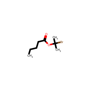 CCCCC(=O)OC(C)(C)Br